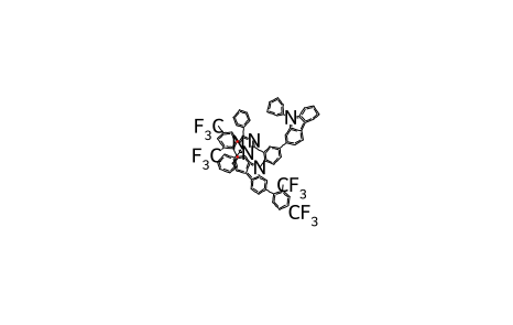 FC(F)(F)c1ccc(-c2ccc3c4ccc(-c5ccc(C(F)(F)F)cc5C(F)(F)F)cc4n(-c4ccc(-c5ccc6c7ccccc7n(-c7ccccc7)c6c5)cc4-c4nc(-c5ccccc5)nc(-c5ccccc5)n4)c3c2)c(C(F)(F)F)c1